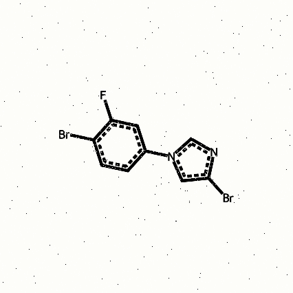 Fc1cc(-n2cnc(Br)c2)ccc1Br